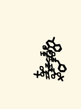 Cc1ccc(S(=O)(=O)N[C@@H](CCNC(=NC(=O)OC(C)(C)C)NC(=O)OC(C)(C)C)C(=O)NCc2ccccc2)c2ccccc12